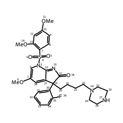 COC1=CN(S(=O)(=O)c2ccc(OC)cc2OC)C2=NC(=O)C(CCCCN3CCNCC3)(c3ccccc3F)C2=C1